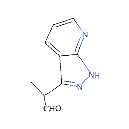 CC(C=O)c1n[nH]c2ncccc12